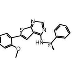 COc1ccccc1-c1cc2c(N[C@H](C)c3ccccc3)ncnc2s1